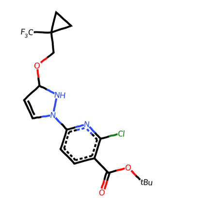 CC(C)(C)OC(=O)c1ccc(N2C=CC(OCC3(C(F)(F)F)CC3)N2)nc1Cl